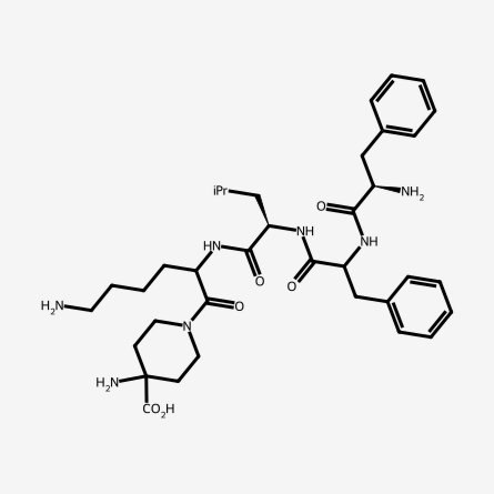 CC(C)C[C@@H](NC(=O)C(Cc1ccccc1)NC(=O)[C@H](N)Cc1ccccc1)C(=O)NC(CCCCN)C(=O)N1CCC(N)(C(=O)O)CC1